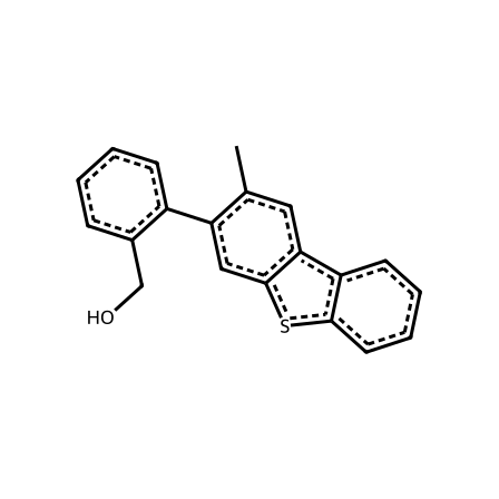 Cc1cc2c(cc1-c1ccccc1CO)sc1ccccc12